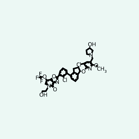 COc1nc(O[C@H]2CCc3c(-c4cccc(-c5nc6c(=O)n(CCO)cc(OC(F)(F)F)c6o5)c4Cl)cccc32)c(Cl)cc1CN1CC[C@@H](O)C1